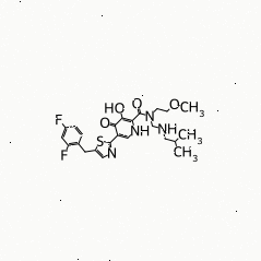 COCCN(CNCC(C)C)C(=O)c1[nH]cc(-c2ncc(Cc3ccc(F)cc3F)s2)c(=O)c1O